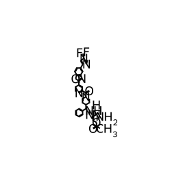 CC(=O)OC/C(=N/N[C@H](c1ccccc1)C1CCN(C(=O)c2cc(-c3nc4cc(-c5cn(C(F)F)cn5)ccc4o3)ccn2)CC1)NN